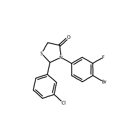 O=C1CSC(c2cccc(Cl)c2)N1c1ccc(Br)c(F)c1